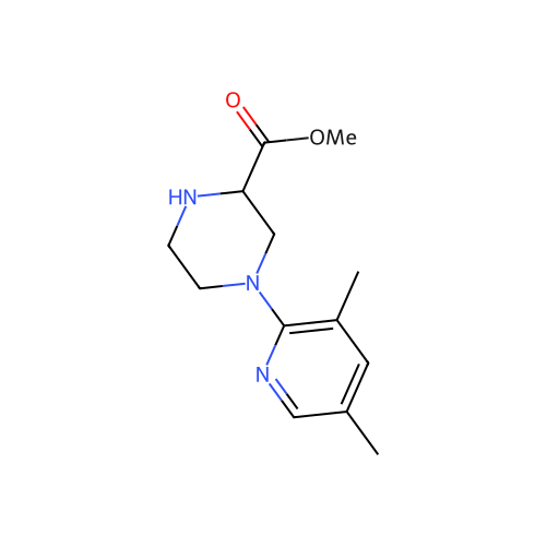 COC(=O)C1CN(c2ncc(C)cc2C)CCN1